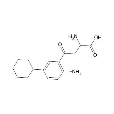 Nc1ccc(C2CCCCC2)cc1C(=O)CC(N)C(=O)O